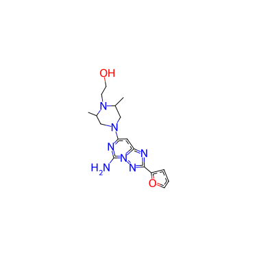 CC1CN(c2cc3nc(-c4ccco4)nn3c(N)n2)CC(C)N1CCO